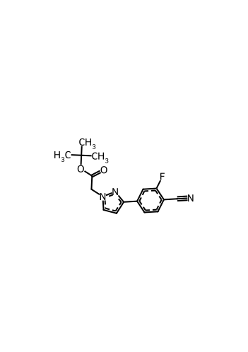 CC(C)(C)OC(=O)Cn1ccc(-c2ccc(C#N)c(F)c2)n1